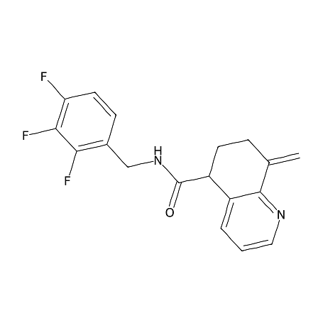 C=C1CCC(C(=O)NCc2ccc(F)c(F)c2F)c2cccnc21